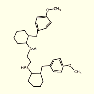 COc1ccc(CC2CCCCC2[AsH]CC[AsH]C2CCCCC2Cc2ccc(OC)cc2)cc1